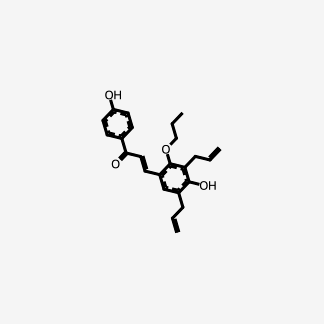 C=CCc1cc(C=CC(=O)c2ccc(O)cc2)c(OCCC)c(CC=C)c1O